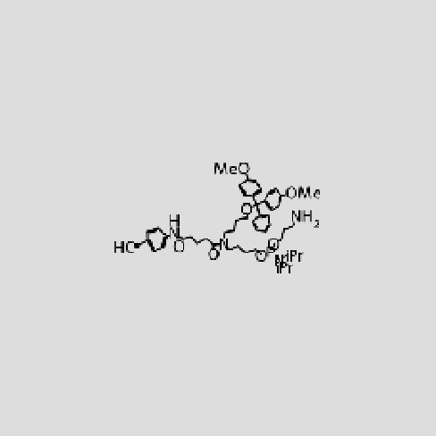 C#Cc1ccc(NC(=O)CCCC(=O)N(CCCCOP(OCCCN)N(C(C)C)C(C)C)CCCCOC(c2ccccc2)(c2ccc(OC)cc2)c2ccc(OC)cc2)cc1